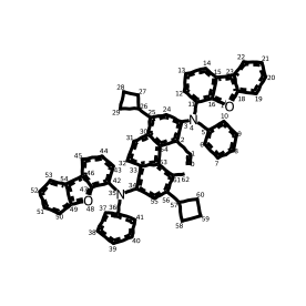 C=Cc1c(N(c2ccccc2)c2cccc3c2oc2ccccc23)cc(C2CCC2)c2ccc3c(N(c4ccccc4)c4cccc5c4oc4ccccc45)cc(C4CCC4)c(C)c3c12